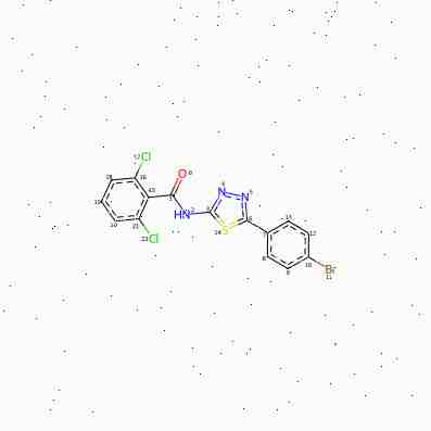 O=C(Nc1nnc(-c2ccc(Br)cc2)s1)c1c(Cl)cccc1Cl